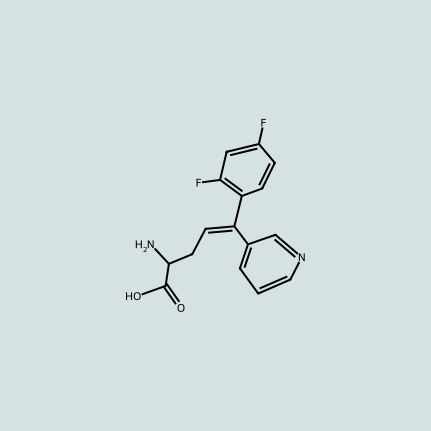 NC(C/C=C(\c1cccnc1)c1ccc(F)cc1F)C(=O)O